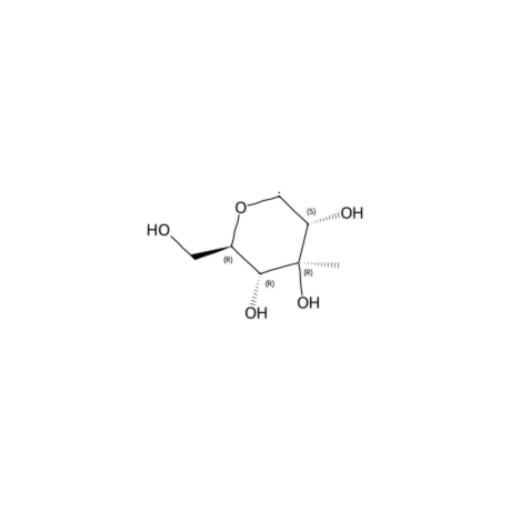 C[C@]1(O)[C@H](O)[C@@H](CO)O[CH][C@@H]1O